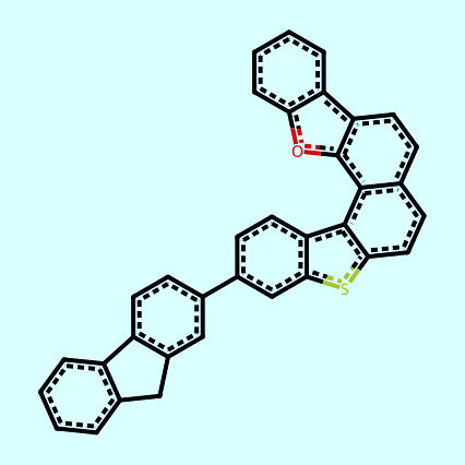 c1ccc2c(c1)Cc1cc(-c3ccc4c(c3)sc3ccc5ccc6c7ccccc7oc6c5c34)ccc1-2